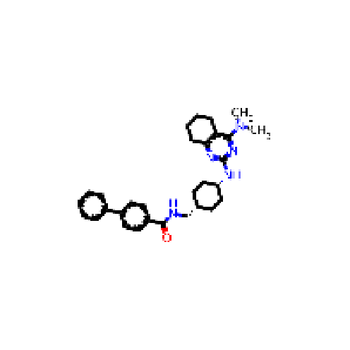 CN(C)c1nc(N[C@H]2CC[C@@H](CNC(=O)c3ccc(-c4ccccc4)cc3)CC2)nc2c1CCCC2